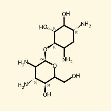 NC1[C@@H](O[C@@H]2C(N)C[C@@H](N)C(O)[C@H]2O)OC(CO)[C@@H](O)[C@@H]1N